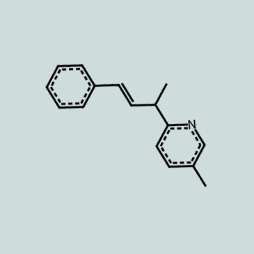 Cc1ccc(C(C)/C=C/c2ccccc2)nc1